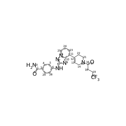 NC(=O)c1ccc(Nc2nc3c(C4=CCN(C(=O)CCC(F)(F)F)CC4)cccn3n2)cc1